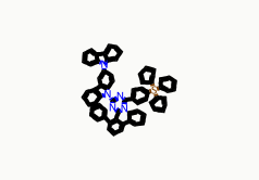 c1ccc(-c2cccc(-c3ccccc3)c2-c2nc(-c3ccc(S(c4ccccc4)(c4ccccc4)c4ccccc4)cc3)nc(-n3c4c(c5cc(-n6c7ccccc7c7ccccc76)ccc53)C=CCC4)n2)cc#1